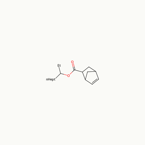 CCCCCCCC(CC)OC(=O)C1CC2C=CC1C2